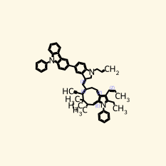 C#C/C1=C(\C=C2/CN(CC=C)c3ccc(-c4ccc5c(c4)c4ccccc4n5-c4ccccc4)cc32)C/C=c2/c(/C=C\C)c(CC)n(-c3ccccc3)/c2=C/C(C)C1(C)C